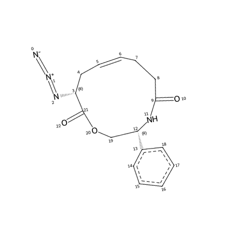 [N-]=[N+]=N[C@@H]1CC=CCCC(=O)N[C@H](c2ccccc2)COC1=O